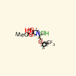 COC(=O)OC1=C(O)CCN(CCCOc2cccc(C(F)(F)F)c2)C1.Cl